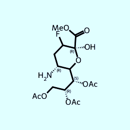 COC(=O)[C@@]1(O)OC([C@H](OC(C)=O)[C@@H](COC(C)=O)OC(C)=O)[C@H](N)CC1F